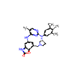 Cc1cnc(Nc2cc(C)c(C)c(C)c2)nc1Nc1cc(CN2CCCC2)c2oc(=O)[nH]c2c1